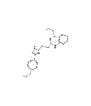 CCOc1ccccc1NC(=O)CSc1nc(-c2ccc(OC)cc2)n[nH]1